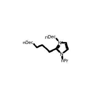 CCCCCCCCCCCCCc1n(CCC)cc[n+]1CCCCCCCCCC